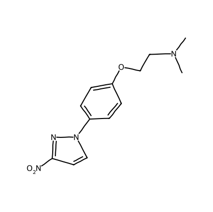 CN(C)CCOc1ccc(-n2ccc([N+](=O)[O-])n2)cc1